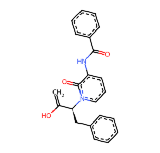 C=C(O)[C@H](Cc1ccccc1)n1cccc(NC(=O)c2ccccc2)c1=O